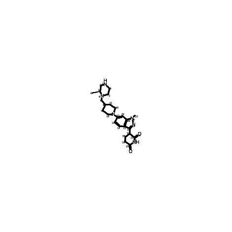 C[C@H]1CNCCN1CC1CCN(c2ccc3c(C4CCC(=O)NC4=O)nn(C)c3c2)CC1